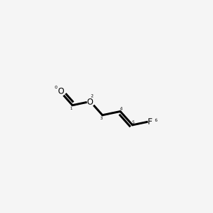 O=[C]OCC=CF